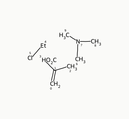 C=C(C)C(=O)O.CCCl.CN(C)C